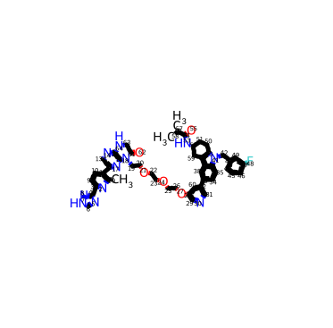 Cc1nc(-c2nc[nH]n2)ccc1-c1cnc2c(n1)N(CCOCCOCCOc1cncc(-c3ccc4c(c3)c3c(n4Cc4cccc(F)c4)CC[C@@H](NC(=O)C(C)C)C3)c1)C(=O)CN2